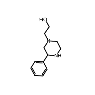 OCCN1CCN[C](c2ccccc2)C1